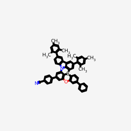 Cc1cc(C)c(-c2ccc3c(c2)c2cc(-c4c(C)cc(C)cc4C)cc4c2n3-c2cc(-c3ccc(C#N)cc3)cc3c2B4c2ccc(-c4ccccc4)cc2O3)c(C)c1